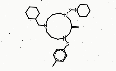 C=C1CN(Sc2ccc(C)cc2)CCCN(CC2CCCCC2)CCCN(SN2CCCCC2)C1